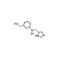 CC(C)N(Cc1cnc[nH]1)c1cccc(CO)c1